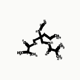 C=C(C)C(=O)OCC(CCC)(COC(=O)C(=C)C)N=C=O